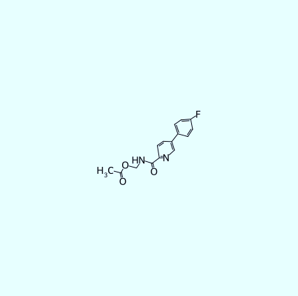 CC(=O)OCNC(=O)c1ccc(-c2ccc(F)cc2)cn1